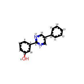 Oc1cccc(-c2ncc(-c3ccccc3)cn2)c1